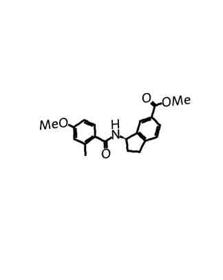 COC(=O)c1ccc2c(c1)[C@H](NC(=O)c1ccc(OC)cc1C)CC2